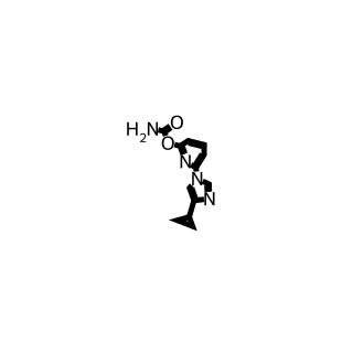 NC(=O)Oc1cccc(-n2cnc(C3CC3)c2)n1